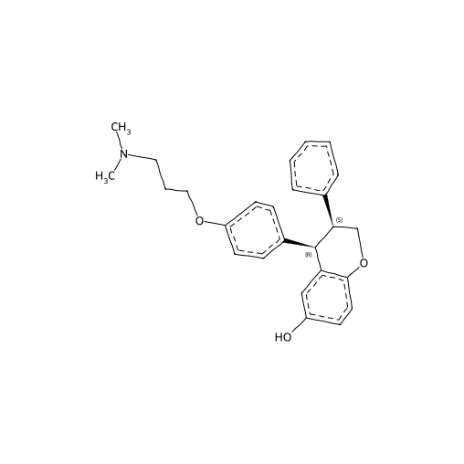 CN(C)CCCOc1ccc([C@@H]2c3cc(O)ccc3OC[C@@H]2c2ccccc2)cc1